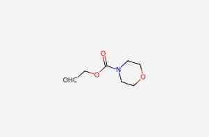 O=CCOC(=O)N1CCOCC1